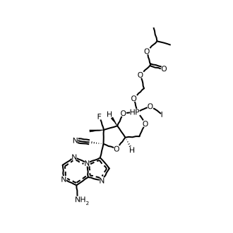 CC(C)OC(=O)OCO[PH]1(OI)OC[C@H]2O[C@@](C#N)(c3cnc4c(N)ncnn34)[C@](C)(F)[C@@H]2O1